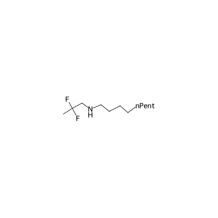 CCCCCCCCCNCC(C)(F)F